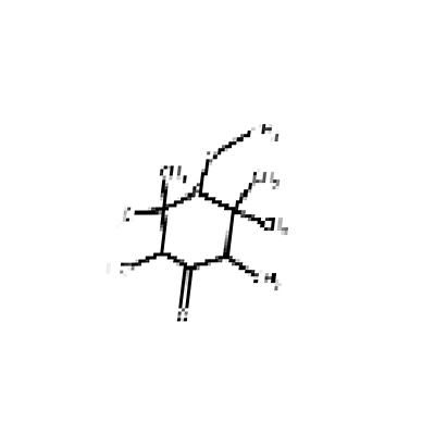 CON1C(C)(C)C(C)C(=O)C(C)C1(C)C